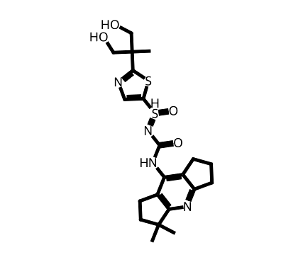 CC1(C)CCc2c1nc1c(c2NC(=O)N=[SH](=O)c2cnc(C(C)(CO)CO)s2)CCC1